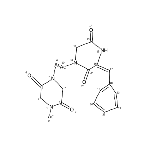 CC(=O)N1CC(=O)N(C(C)=O)CC1=O.CC(=O)N1CC(=O)N/C(=C/c2ccccc2)C1=O